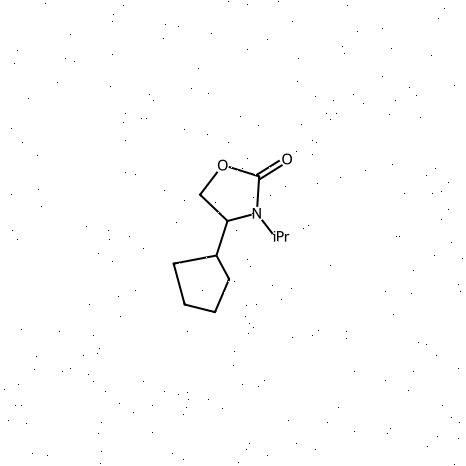 CC(C)N1C(=O)OCC1C1CCCC1